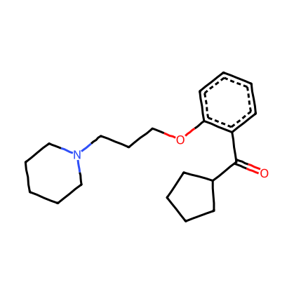 O=C(c1ccccc1OCCCN1CCCCC1)C1CCCC1